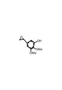 COc1cc(C2CO2)cc(O)c1OC